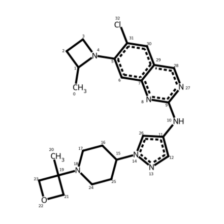 CC1CCN1c1cc2nc(Nc3cnn(C4CCN(C5(C)COC5)CC4)c3)ncc2cc1Cl